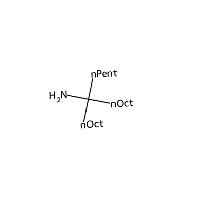 CCCCCCCCC(N)(CCCCC)CCCCCCCC